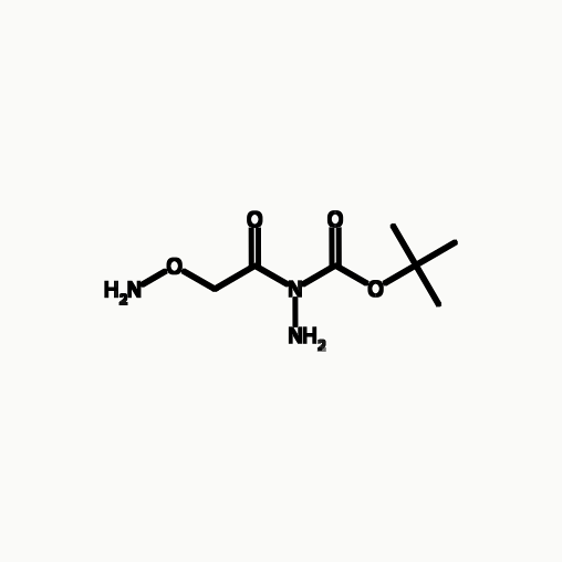 CC(C)(C)OC(=O)N(N)C(=O)CON